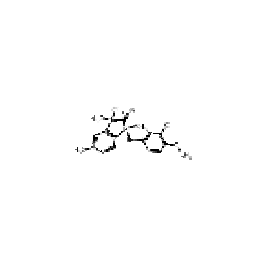 C=C1C(C)(C)c2cc(C)ccc2[N+]1(C)Nc1ccc(OC)c(Cl)c1